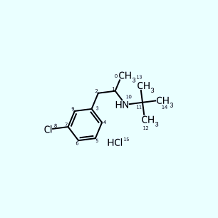 CC(Cc1cccc(Cl)c1)NC(C)(C)C.Cl